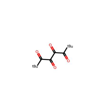 CC(C)(C)C(=O)C(=O)C(=O)C(=O)C(C)(C)C